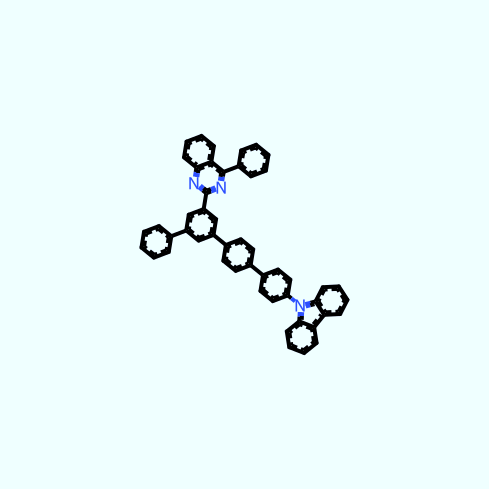 c1ccc(-c2cc(-c3ccc(-c4ccc(-n5c6ccccc6c6ccccc65)cc4)cc3)cc(-c3nc(-c4ccccc4)c4ccccc4n3)c2)cc1